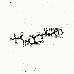 O=C(N[C@H]1CN2CCC1CC2)c1cc2sc(NC(=O)C(F)(F)F)cc2cn1